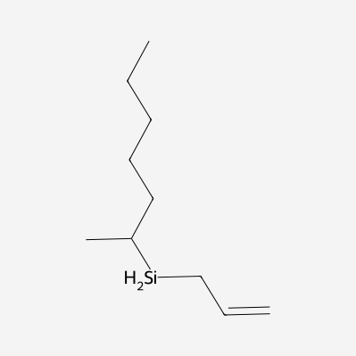 C=CC[SiH2]C(C)CCCCC